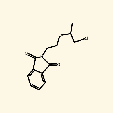 CC(CCl)OCCN1C(=O)c2ccccc2C1=O